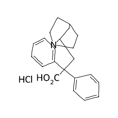 Cl.O=C(O)C(CC1CC2CCN1CC2)(c1ccccc1)c1ccccc1